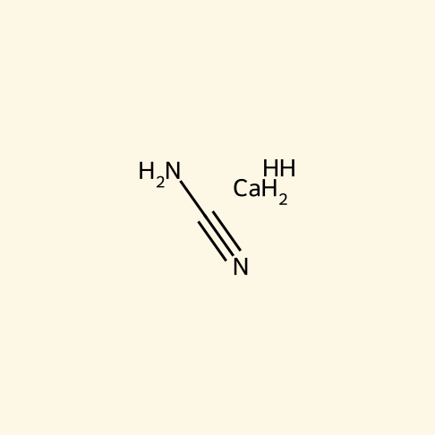 N#CN.[CaH2].[HH]